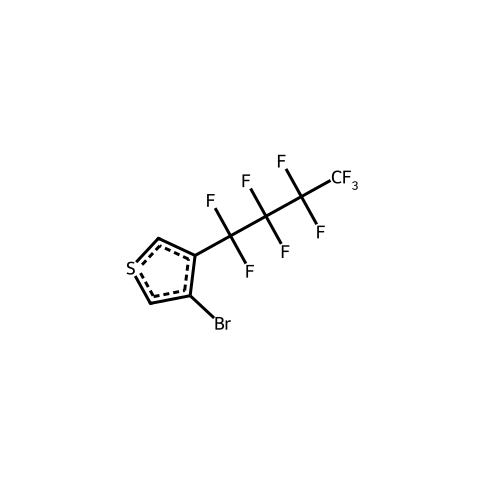 FC(F)(F)C(F)(F)C(F)(F)C(F)(F)c1cscc1Br